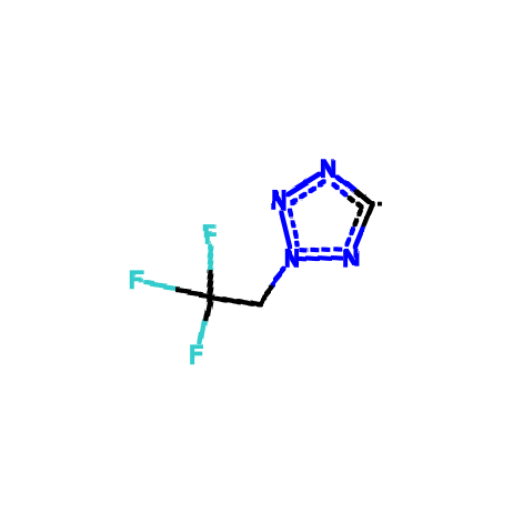 FC(F)(F)Cn1n[c]nn1